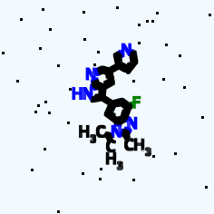 Cc1nc2c(F)cc(-c3c[nH]c4ncc(-c5cccnc5)cc34)cc2n1C(C)C